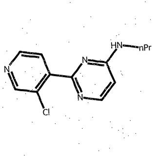 CCCNc1ccnc(-c2ccncc2Cl)n1